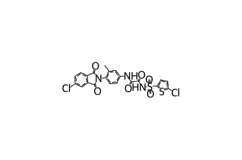 Cc1cc(NC(=O)C(=O)NS(=O)(=O)c2ccc(Cl)s2)ccc1N1C(=O)c2ccc(Cl)cc2C1=O